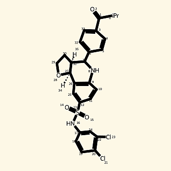 CC(C)C(=O)c1ccc(C2Nc3ccc(S(=O)(=O)Nc4ccc(Cl)c(Cl)c4)cc3[C@H]3OCC[C@@H]23)cc1